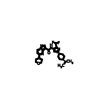 CC(C)[C@H]1CC[C@H](n2cc(NC(=O)c3cnn4ccc(N5CCOCC5)nc34)c(C(F)F)n2)CC1